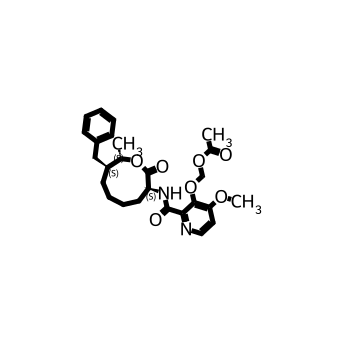 COc1ccnc(C(=O)N[C@H]2CCCC[C@@H](Cc3ccccc3)[C@H](C)OC2=O)c1OCOC(C)=O